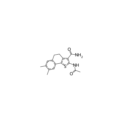 CC(=O)Nc1sc2c(c1C(N)=O)CCc1cc(C)c(C)cc1-2